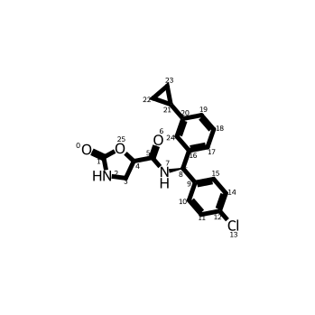 O=C1NCC(C(=O)N[C@H](c2ccc(Cl)cc2)c2cccc(C3CC3)c2)O1